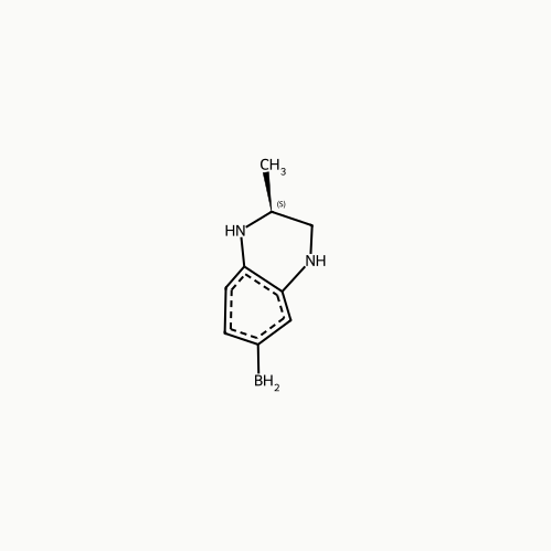 Bc1ccc2c(c1)NC[C@H](C)N2